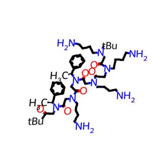 C[C@@H](c1ccccc1)N(CC(=O)N(CCCCN)CC(=O)N(CC(=O)C(C)(C)C)[C@@H](C)c1ccccc1)C(=O)CN(CCCCN)C(=O)CN(CCCCN)C(=O)CN(CCCCN)C(C)(C)C